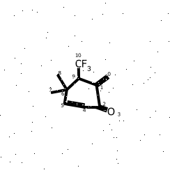 C=C1C(=O)C=CC(C)(C)C1C(F)(F)F